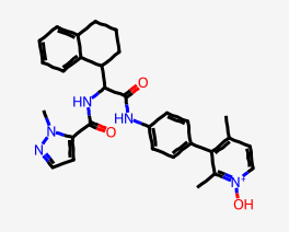 Cc1cc[n+](O)c(C)c1-c1ccc(NC(=O)C(NC(=O)c2ccnn2C)C2CCCc3ccccc32)cc1